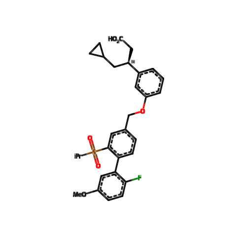 COc1ccc(F)c(-c2ccc(COc3cccc([C@H](CC(=O)O)CC4CC4)c3)cc2S(=O)(=O)C(C)C)c1